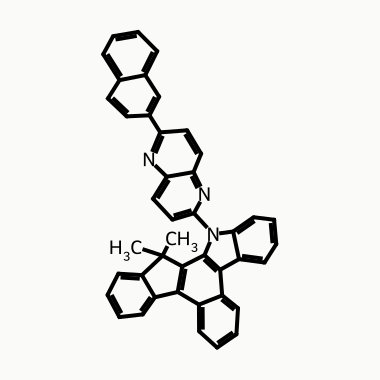 CC1(C)c2ccccc2-c2c1c1c(c3ccccc23)c2ccccc2n1-c1ccc2nc(-c3ccc4ccccc4c3)ccc2n1